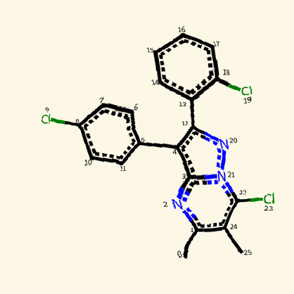 Cc1nc2c(-c3ccc(Cl)cc3)c(-c3ccccc3Cl)nn2c(Cl)c1C